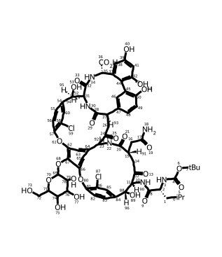 CC(C)C[C@@H](NC(=O)OC(C)(C)C)C(=O)N[C@H]1C(=O)C[C@@H](CC(N)=O)C(=O)N[C@H]2C(=O)C[C@H]3C(=O)N[C@H](C(=O)N[C@H](C(=O)O)c4cc(O)cc(O)c4-c4cc3ccc4O)[C@H](O)c3ccc(c(Cl)c3)Oc3cc2cc(c3OC2OC(CO)C(O)C(O)C2O)Oc2ccc(cc2Cl)[C@H]1O